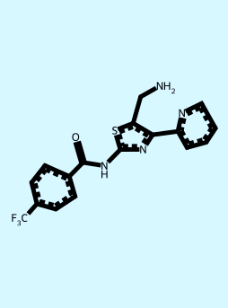 NCc1sc(NC(=O)c2ccc(C(F)(F)F)cc2)nc1-c1ccccn1